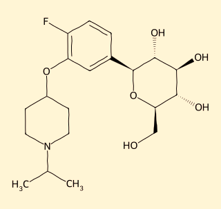 CC(C)N1CCC(Oc2cc([C@@H]3O[C@H](CO)[C@@H](O)[C@H](O)[C@H]3O)ccc2F)CC1